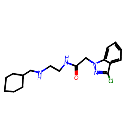 O=C(Cn1nc(Cl)c2ccccc21)NCCNCC1CCCCC1